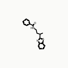 CC(CCNC(=O)c1ccccc1)c1nc2ccccc2s1